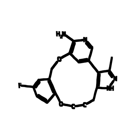 Cc1n[nH]c2c1-c1cnc(N)c(c1)OCc1cc(F)ccc1OCCC2